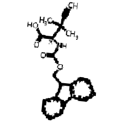 C#CC(C)(C)[C@@H](NC(=O)OCC1c2ccccc2-c2ccccc21)C(=O)O